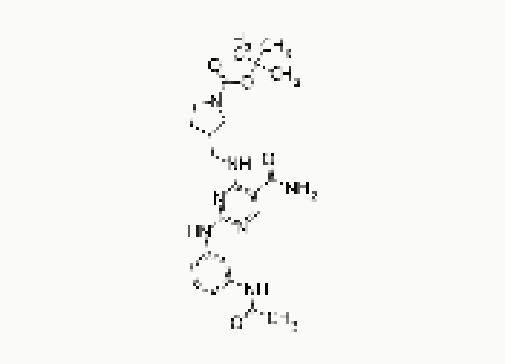 CC(=O)Nc1cccc(Nc2ncc(C(N)=O)c(NCC3CCN(C(=O)OC(C)(C)C)C3)n2)c1